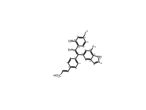 CCC(=C(c1ccc(C=CC(=O)O)cc1)c1cc(F)c2[nH]ncc2c1)c1ccc(F)cc1Cl